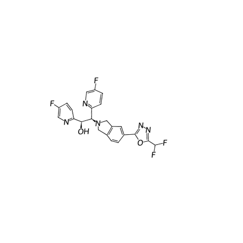 O[C@@H](c1ccc(F)cn1)[C@@H](c1ccc(F)cn1)N1Cc2ccc(-c3nnc(C(F)F)o3)cc2C1